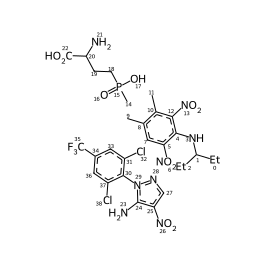 CCC(CC)Nc1c([N+](=O)[O-])cc(C)c(C)c1[N+](=O)[O-].CP(=O)(O)CCC(N)C(=O)O.Nc1c([N+](=O)[O-])cnn1-c1c(Cl)cc(C(F)(F)F)cc1Cl